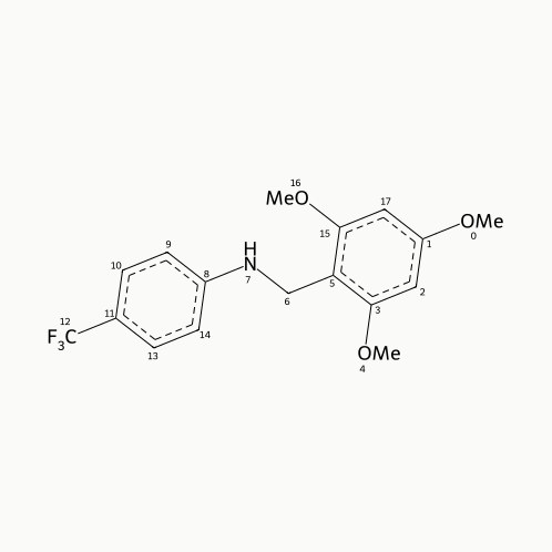 COc1cc(OC)c(CNc2ccc(C(F)(F)F)cc2)c(OC)c1